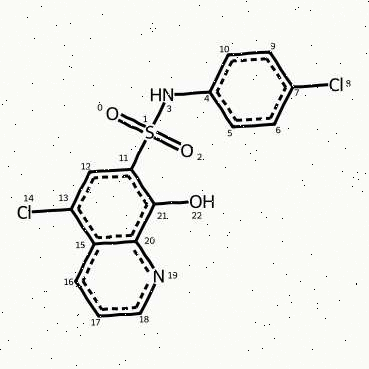 O=S(=O)(Nc1ccc(Cl)cc1)c1cc(Cl)c2cccnc2c1O